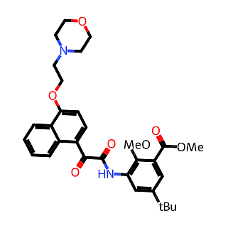 COC(=O)c1cc(C(C)(C)C)cc(NC(=O)C(=O)c2ccc(OCCN3CCOCC3)c3ccccc23)c1OC